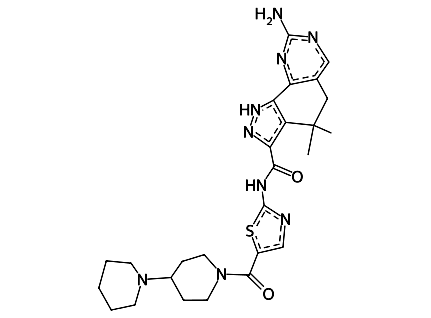 CC1(C)Cc2cnc(N)nc2-c2[nH]nc(C(=O)Nc3ncc(C(=O)N4CCC(N5CCCCC5)CC4)s3)c21